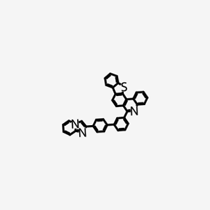 c1cc(-c2ccc(-c3cn4ccccc4n3)cc2)cc(-c2nc3ccccc3c3c2ccc2c4ccccc4sc23)c1